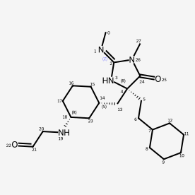 C/N=C1/N[C@](CCC2CCCCC2)(C[C@H]2CCC[C@@H](NCC=O)C2)C(=O)N1C